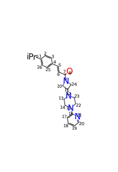 CC(C)c1ccc(C=CC(=O)N2CC(N3CCN(c4ccccn4)CC3)C2)cc1